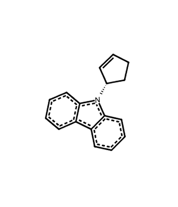 C1=C[C@@H](n2c3ccccc3c3ccccc32)CC1